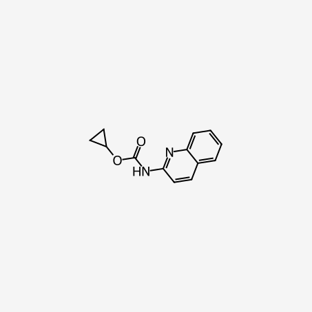 O=C(Nc1ccc2ccccc2n1)OC1CC1